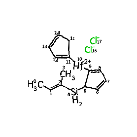 C/C=C(\C)[SiH2]C1C=CC=[C]1[Hf+2][C]1=CC=CC1.[Cl-].[Cl-]